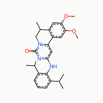 COc1cc2c(cc1OC)C(C)Cn1c-2cc(Nc2c(C(C)C)cccc2C(C)C)nc1=O